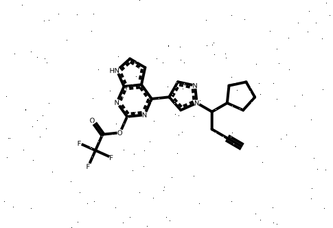 C#CCC(C1CCCC1)n1cc(-c2nc(OC(=O)C(F)(F)F)nc3[nH]ccc23)cn1